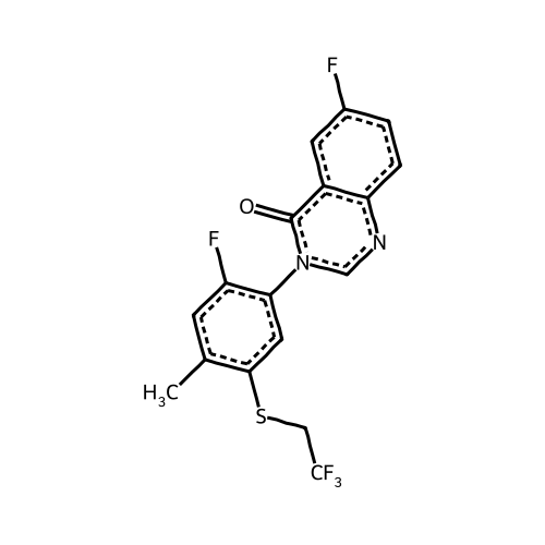 Cc1cc(F)c(-n2cnc3ccc(F)cc3c2=O)cc1SCC(F)(F)F